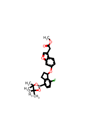 COC(=O)Cc1coc2cc(OC3CCc4c(B5OC(C)(C)C(C)(C)O5)ccc(F)c43)ccc12